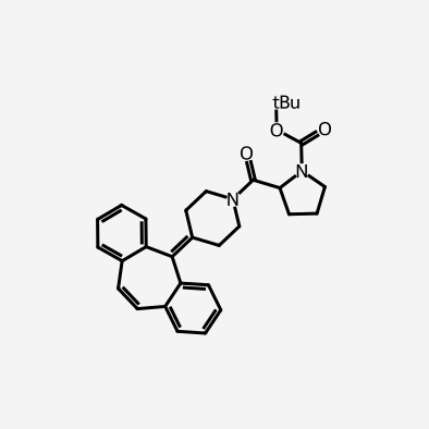 CC(C)(C)OC(=O)N1CCCC1C(=O)N1CCC(=C2c3ccccc3C=Cc3ccccc32)CC1